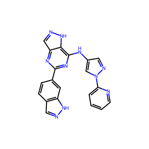 c1ccc(-n2cc(Nc3nc(-c4ccc5cn[nH]c5c4)nc4cn[nH]c34)cn2)nc1